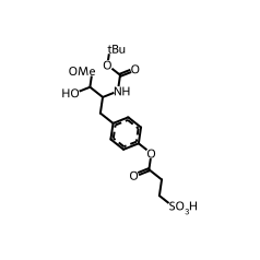 COC(O)C(Cc1ccc(OC(=O)CCS(=O)(=O)O)cc1)NC(=O)OC(C)(C)C